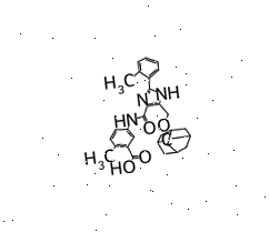 Cc1ccc(NC(=O)c2nc(-c3ccccc3C)[nH]c2COC23CC4CC(CC(C4)C2)C3)cc1C(=O)O